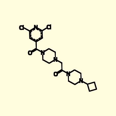 O=C(CN1CCN(C(=O)c2cc(Cl)nc(Cl)c2)CC1)N1CCN(C2CCC2)CC1